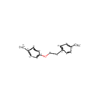 CC(=O)Oc1ccc(CCOc2ccc(C=O)cc2)cc1